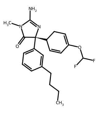 CCCCc1cccc([C@@]2(C3C=CC(OC(F)F)=CC3)N=C(N)N(C)C2=O)c1